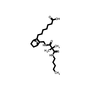 CCCCCNC(=S)C(C)(C)C(=O)NCC1C2CCC(O2)C1CCCCCCC(=O)O